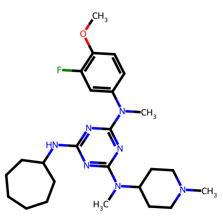 COc1ccc(N(C)c2nc(NC3CCCCCC3)nc(N(C)C3CCN(C)CC3)n2)cc1F